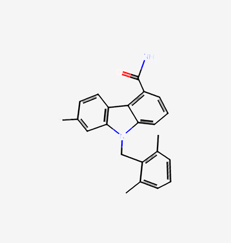 CCc1c[c]c2c3c(C(N)=O)cccc3n(Cc3c(C)cccc3C)c2c1